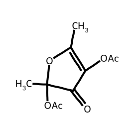 CC(=O)OC1=C(C)OC(C)(OC(C)=O)C1=O